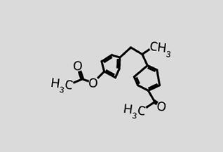 CC(=O)Oc1ccc(CC(C)c2ccc(C(C)=O)cc2)cc1